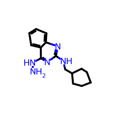 NNc1nc(NCC2CCCCC2)nc2ccccc12